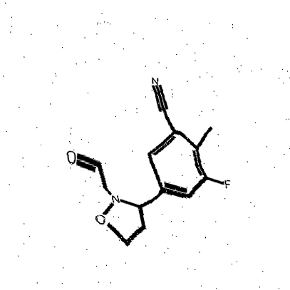 Cc1c(F)cc(C2CCON2C=O)cc1C#N